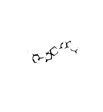 CC1(C)N(c2cc(C(F)(F)F)ccn2)C(=O)CC12CCN(c1cnc3cnn(CC(F)F)c3n1)CC2